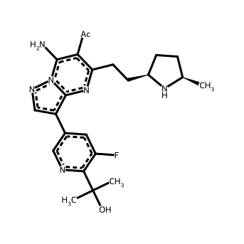 CC(=O)c1c(CC[C@H]2CC[C@@H](C)N2)nc2c(-c3cnc(C(C)(C)O)c(F)c3)cnn2c1N